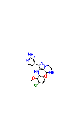 COc1c(Cl)cccc1Nc1c(-c2ccnc(N)c2)nn2c1C(=O)NCC2